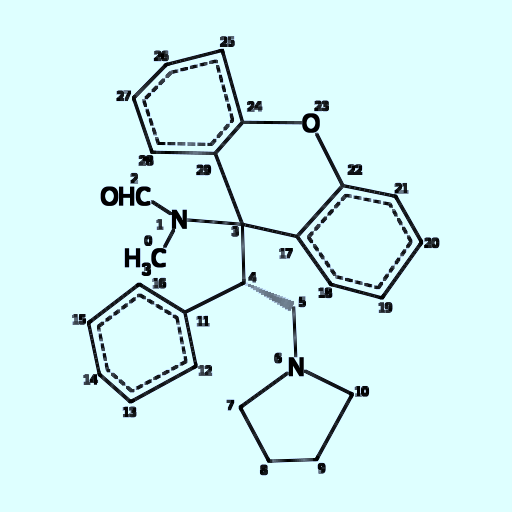 CN(C=O)C1([C@H](CN2CCCC2)c2ccccc2)c2ccccc2Oc2ccccc21